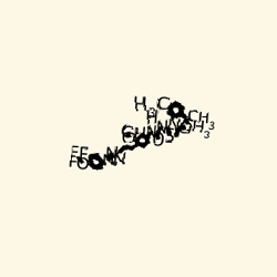 COc1cc(NC(=O)N=C2SCC(=O)N2c2cc(C)ccc2C(C)C)ccc1C=Cc1ncn(-c2ccc(OC(F)(F)F)cc2)n1